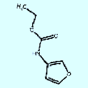 CCOC(=O)Nc1ccoc1